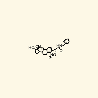 CC12CCC3C4CC=C(OCC(=O)NCc5ccccc5)C([N+](=O)[O-])=C4CCC3C1CCC2O